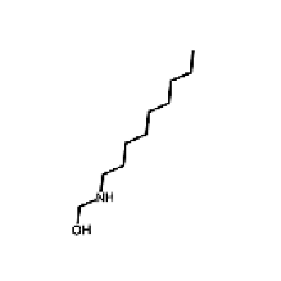 CCCCCCCCCNCO